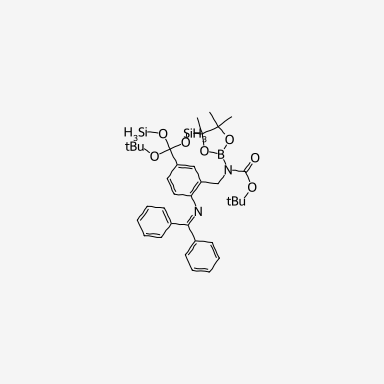 CC(C)(C)OC(=O)N(Cc1cc(C(O[SiH3])(O[SiH3])OC(C)(C)C)ccc1N=C(c1ccccc1)c1ccccc1)B1OC(C)(C)C(C)(C)O1